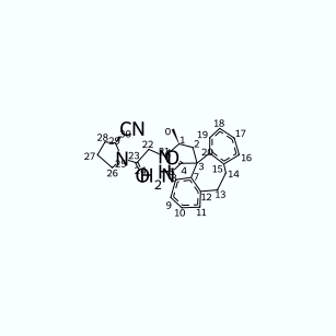 C[C@@H](CC1(C(N)=O)c2ccccc2CCc2ccccc21)NCC(=O)N1CCC[C@H]1C#N